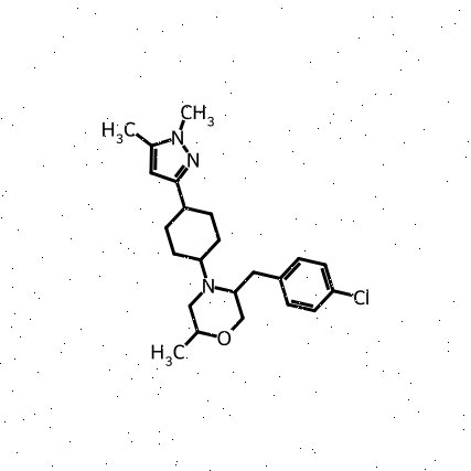 Cc1cc(C2CCC(N3CC(C)OCC3Cc3ccc(Cl)cc3)CC2)nn1C